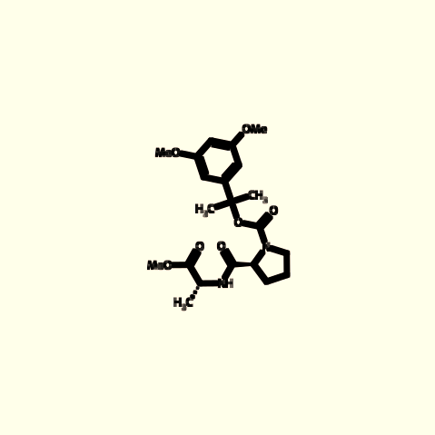 COC(=O)[C@@H](C)NC(=O)[C@@H]1CCCN1C(=O)OC(C)(C)c1cc(OC)cc(OC)c1